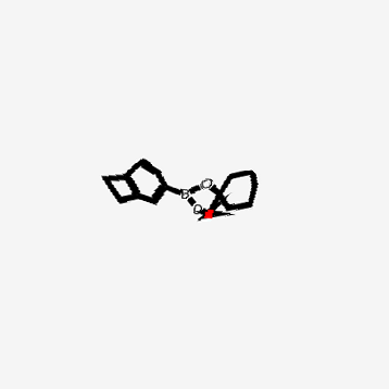 c1cc2c(cc1B1OC3(CCCCC3)C3(CCCC3)O1)CC2